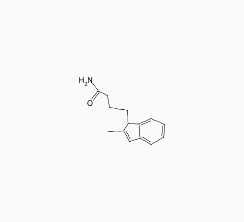 CC1=Cc2ccccc2C1CCCC(N)=O